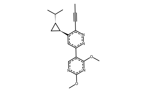 CC#Cc1nnc(-c2cnc(OC)nc2OC)cc1[C@H]1C[C@@H]1C(C)C